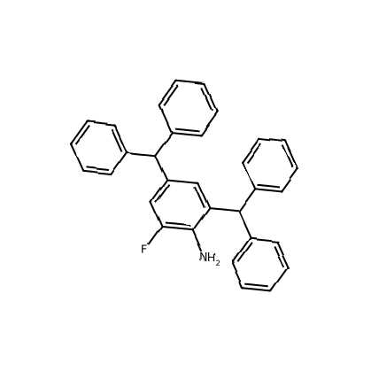 Nc1c(F)cc(C(c2ccccc2)c2ccccc2)cc1C(c1ccccc1)c1ccccc1